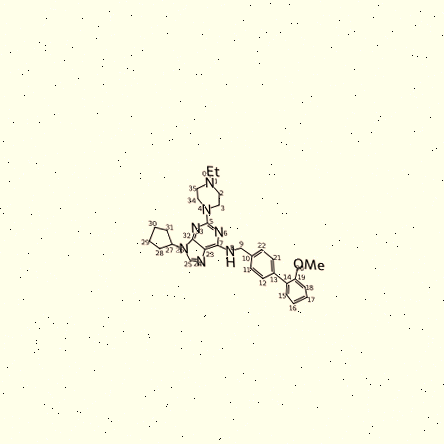 CCN1CCN(c2nc(NCc3ccc(-c4ccccc4OC)cc3)c3ncn(C4CCCC4)c3n2)CC1